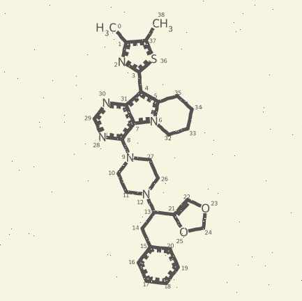 Cc1nc(-c2c3n(c4c(N5CCN(C(Cc6ccccc6)C6=COCO6)CC5)ncnc24)CCCC3)sc1C